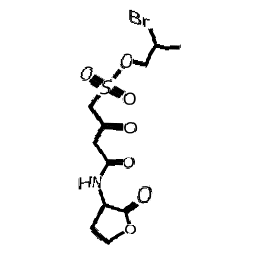 CC(Br)COS(=O)(=O)CC(=O)CC(=O)NC1CCOC1=O